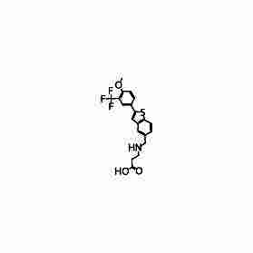 COc1ccc(-c2cc3cc(CNCCC(=O)O)ccc3s2)cc1C(F)(F)F